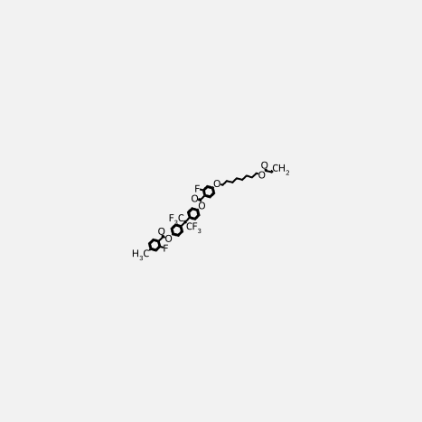 C=CC(=O)OCCCCCCCCOc1ccc(C(=O)Oc2ccc(C(c3ccc(OC(=O)c4ccc(C)cc4F)cc3)(C(F)(F)F)C(F)(F)F)cc2)c(F)c1